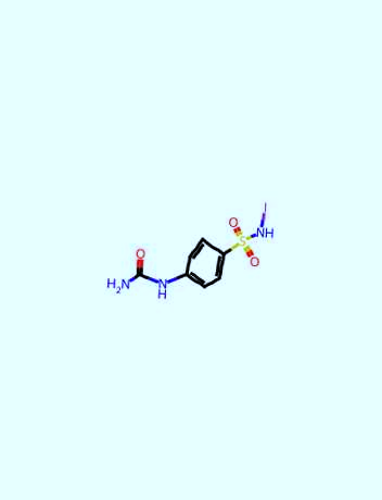 NC(=O)Nc1ccc(S(=O)(=O)NI)cc1